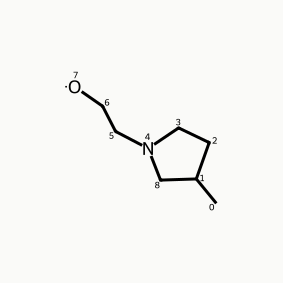 CC1CCN(CC[O])C1